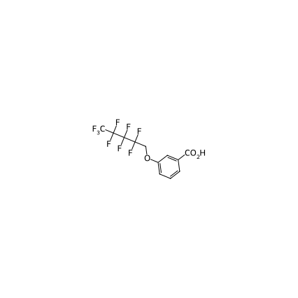 O=C(O)c1cccc(OCC(F)(F)C(F)(F)C(F)(F)C(F)(F)F)c1